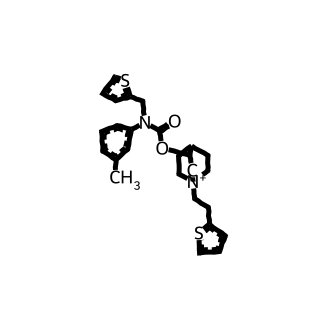 Cc1cccc(N(Cc2cccs2)C(=O)OC2C[N+]3(CCc4cccs4)CCC2CC3)c1